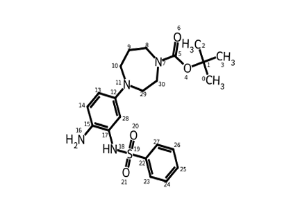 CC(C)(C)OC(=O)N1CCCN(c2ccc(N)c(NS(=O)(=O)c3ccccc3)c2)CC1